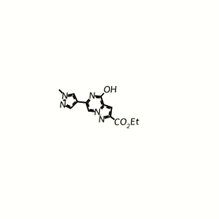 CCOC(=O)c1cc2c(O)nc(-c3cnn(C)c3)cn2n1